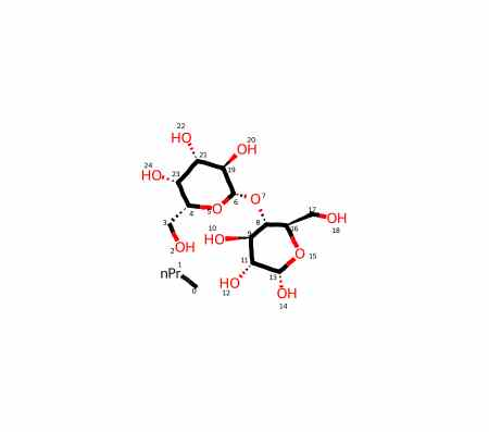 CCCC.OC[C@H]1O[C@@H](O[C@H]2[C@H](O)[C@@H](O)[C@@H](O)O[C@@H]2CO)[C@H](O)[C@@H](O)[C@H]1O